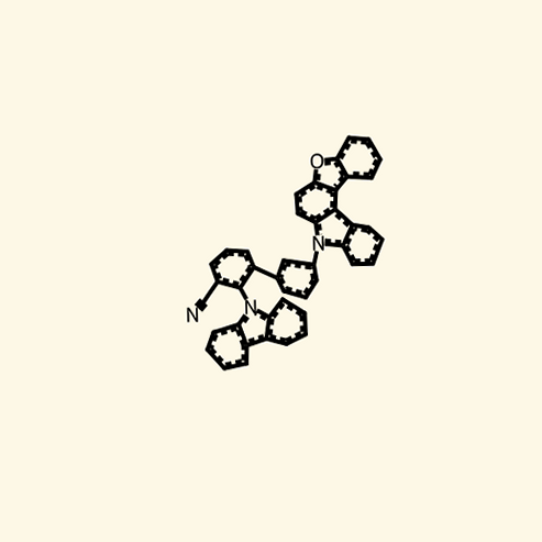 N#Cc1cccc(-c2cccc(-n3c4ccccc4c4c5c(ccc43)oc3ccccc35)c2)c1-n1c2ccccc2c2ccccc21